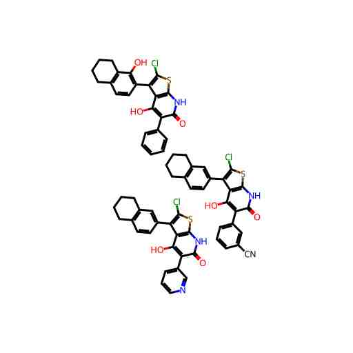 N#Cc1cccc(-c2c(O)c3c(-c4ccc5c(c4)CCCC5)c(Cl)sc3[nH]c2=O)c1.O=c1[nH]c2sc(Cl)c(-c3ccc4c(c3)CCCC4)c2c(O)c1-c1cccnc1.O=c1[nH]c2sc(Cl)c(-c3ccc4c(c3O)CCCC4)c2c(O)c1-c1ccccc1